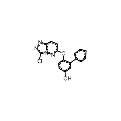 Oc1ccc(Oc2ccc3nnc(Cl)n3n2)c(-c2ccccc2)c1